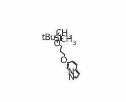 CC(C)(C)[Si](C)(C)OCCCOc1ccc2ccnn2c1